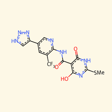 CSc1nc(O)c(C(=O)Nc2ncc(-c3c[nH]nn3)cc2C(F)(F)F)c(=O)[nH]1